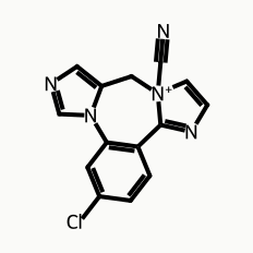 N#C[N+]12C=CN=C1c1ccc(Cl)cc1-n1cncc1C2